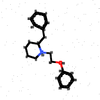 c1ccc(CC2CCCCN2CCOc2ccccc2)cc1